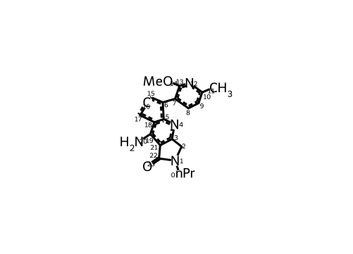 CCCN1Cc2nc3c(-c4ccc(C)nc4OC)cccc3c(N)c2C1=O